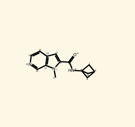 Cn1c(C(=O)NC23CC(C2)C3)cc2ccncc21